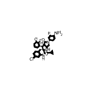 Nc1ccc(N2C[C@H]3[C@@H](C2=O)[C@H](c2cccc(Cl)c2F)[C@@]2(Cc4ccc(Cl)cc4NC2=O)N3CC2CC2)cc1F